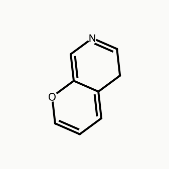 C1=COC2=CN=CCC2=C1